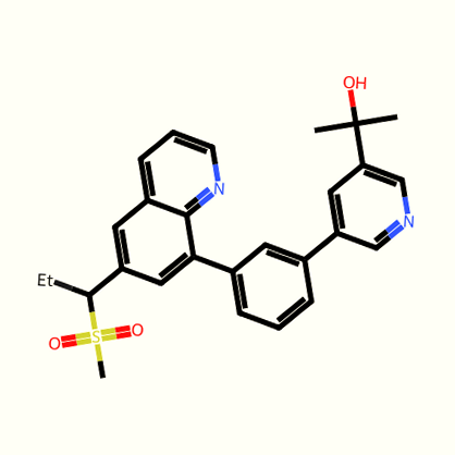 CCC(c1cc(-c2cccc(-c3cncc(C(C)(C)O)c3)c2)c2ncccc2c1)S(C)(=O)=O